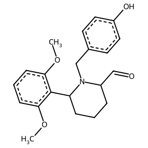 COc1cccc(OC)c1C1CCCC(C=O)N1Cc1ccc(O)cc1